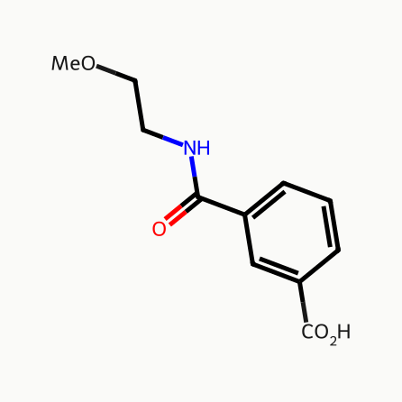 COCCNC(=O)c1cccc(C(=O)O)c1